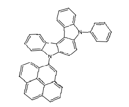 c1ccc(-n2c3ccccc3c3c4c5ccccc5n(-c5cc6cccc7ccc8cccc5c8c76)c4ccc32)cc1